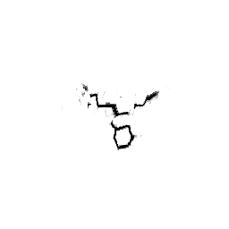 CCCCNS(=O)(=O)C[C@@H](O)[C@H](O)[C@H](CC1CCCCC1)NC(=O)CCC(C)C